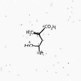 C=C(CC(O)CCC)C(=O)O